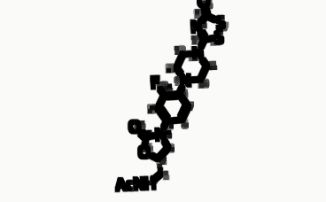 CC(=O)NC[C@H]1CN(c2ccc(N3CCN(c4nc(=O)ss4)CC3)c(F)c2)C(=O)O1